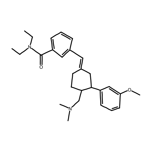 CCN(CC)C(=O)c1cccc(C=C2CCC(CN(C)C)C(c3cccc(OC)c3)C2)c1